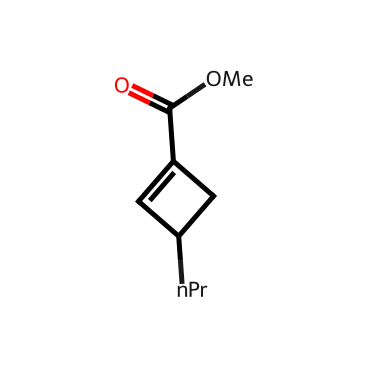 CCCC1C=C(C(=O)OC)C1